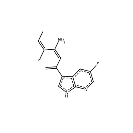 C=C(/C=C(N)\C(F)=C/C)c1c[nH]c2ncc(F)cc12